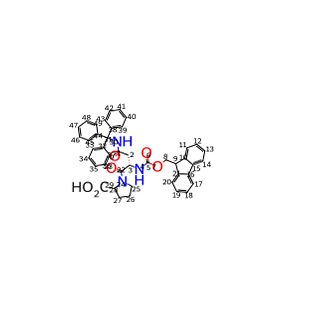 O=C(C[C@H](NC(=O)OCC1c2ccccc2-c2ccccc21)C(=O)N1CCC[C@H]1C(=O)O)NC(c1ccccc1)(c1ccccc1)c1ccccc1